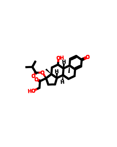 CC(C)C(=O)O[C@]1(C(=O)CO)CC[C@H]2[C@@H]3CCC4=CC(=O)C=C[C@]4(C)[C@H]3C(O)C[C@@]21C